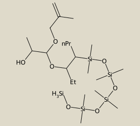 C=C(C)COC(OC(CC)C(CCC)[Si](C)(C)O[Si](C)(C)O[Si](C)(C)O[Si](C)(C)O[SiH3])C(C)O